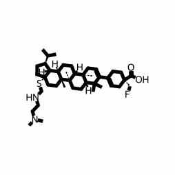 CC(C)[C@@H]1CC[C@]2(SCNCCN(C)C)CC[C@]3(C)[C@H](CC[C@@H]4[C@@]5(C)CC=C(C6=CC[C@](CF)(C(=O)O)CC6)C(C)(C)[C@@H]5CC[C@]43C)[C@@H]12